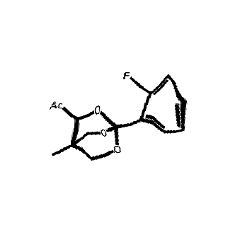 CC(=O)C1OC2(c3ccccc3F)OCC1(C)CO2